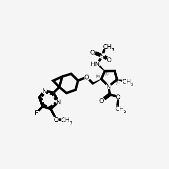 COC(=O)N1[C@H](C)C[C@H](NS(C)(=O)=O)[C@@H]1COC1CCC2(c3ncc(F)c(OC)n3)CC2C1